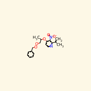 C=C(C)c1nccc(OC(C)COOCc2ccccc2)c1[N+](=O)[O-]